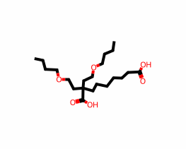 CCCCOCCC(CCCCCCC(=O)O)(CCOCCCC)C(=O)O